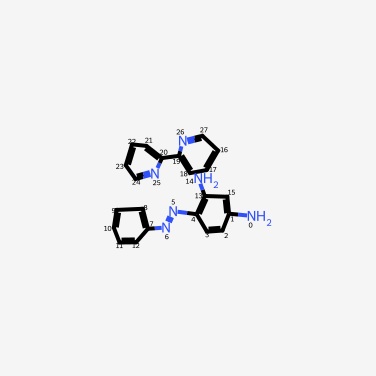 Nc1ccc(/N=N/c2ccccc2)c(N)c1.c1ccc(-c2ccccn2)nc1